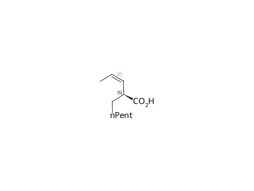 C/C=C\[C@H](CCCCCC)C(=O)O